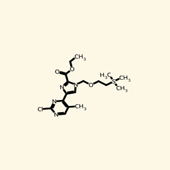 CCOC(=O)c1nc(-c2nc(Cl)ncc2C)cn1COCCS(C)(C)C